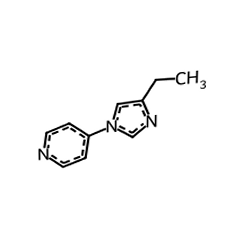 CCc1cn(-c2ccncc2)cn1